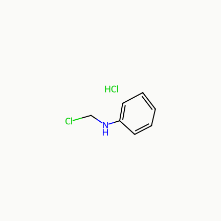 Cl.ClCNc1ccccc1